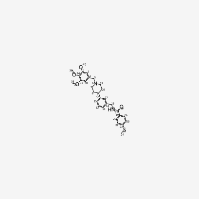 COc1cc(CN2CCC(c3cccc(CNC(=O)c4ccc(SC)cc4)c3)CC2)cc(OC)c1OC